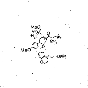 COCCCN1CCOc2ccc(CO[C@H]3CN(C(=O)[C@@H](N)CC(C)C)[C@@H](CC(C)(O)COC)C[C@@H]3c3ccc(OC)cc3)cc21